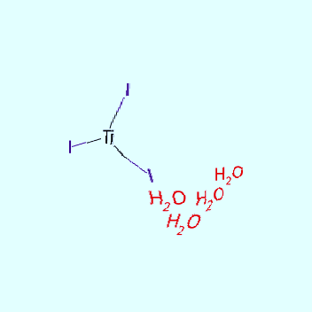 O.O.O.O.[I][Ti]([I])[I]